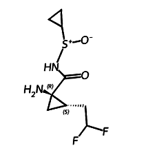 N[C@]1(C(=O)N[S+]([O-])C2CC2)C[C@H]1CC(F)F